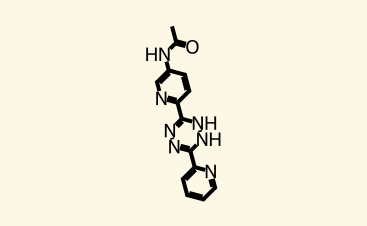 CC(=O)Nc1ccc(C2=NN=C(c3ccccn3)NN2)nc1